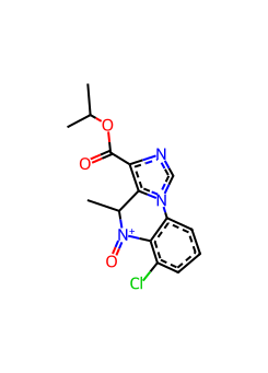 CC(C)OC(=O)c1ncn2c1C(C)[N+](=O)c1c(Cl)cccc1-2